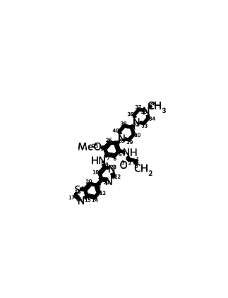 C=CC(=O)Nc1cc(Nc2cc(-c3ccc4ncsc4c3)ncn2)c(OC)cc1N1CCC(N2CCN(C)CC2)CC1